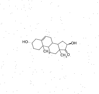 CC12CCC3C(CC=C4C[C@@H](O)CCC43C)C1C[C@@H](O)C2=O